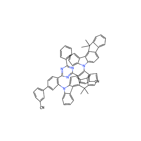 CC1(C)c2ccccc2-c2ccc3c(c21)c1ccccc1n3-c1cc(C#N)ccc1-c1nc(-c2ccccc2)nc(-c2ccc(-c3cccc(C#N)c3)cc2-n2c3ccccc3c3c4c(ccc32)-c2ccccc2C4(C)C)n1